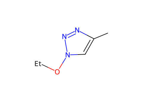 CCOn1cc(C)nn1